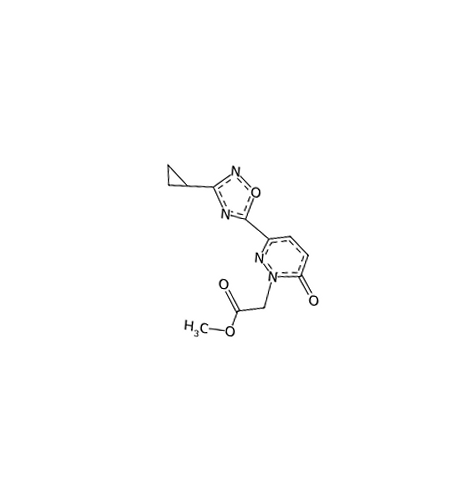 COC(=O)Cn1nc(-c2nc(C3CC3)no2)ccc1=O